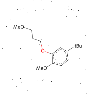 COCCCOc1cc(C(C)(C)C)ccc1OC